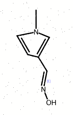 Cn1ccc(/C=N/O)c1